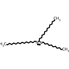 CCCCCCCCCCCCCCCN1C=CN(CCCCCCCCCCC)C1CCCCCCCCCCCCC